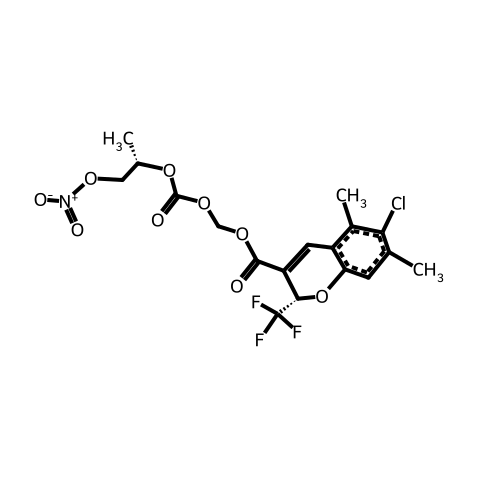 Cc1cc2c(c(C)c1Cl)C=C(C(=O)OCOC(=O)O[C@@H](C)CO[N+](=O)[O-])[C@@H](C(F)(F)F)O2